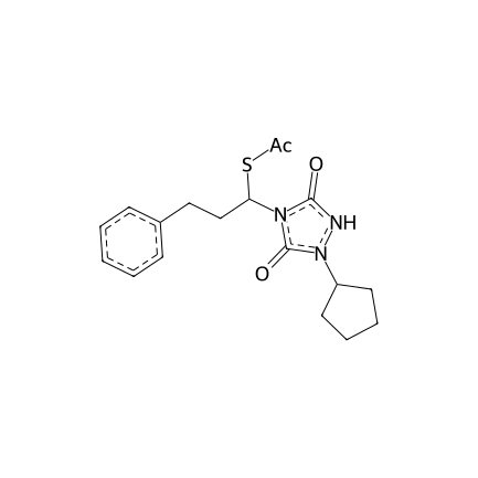 CC(=O)SC(CCc1ccccc1)n1c(=O)[nH]n(C2CCCC2)c1=O